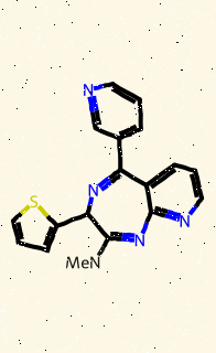 CNC1=Nc2ncccc2C(c2cccnc2)=NC1c1cccs1